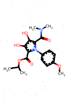 COc1ccc(-n2c(C(=O)OC(C)C)c(O)c(O)c2C(=O)N(C)C)cc1